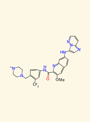 COc1cc2ccc(Nc3cnc4cccnn34)cc2nc1C(=O)Nc1ccc(CN2CCN(C)CC2)c(C(F)(F)F)c1